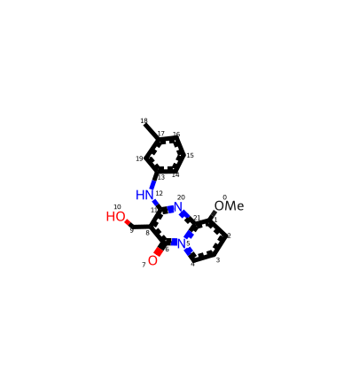 COc1cccn2c(=O)c(CO)c(Nc3cccc(C)c3)nc12